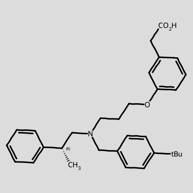 C[C@@H](CN(CCCOc1cccc(CC(=O)O)c1)Cc1ccc(C(C)(C)C)cc1)c1ccccc1